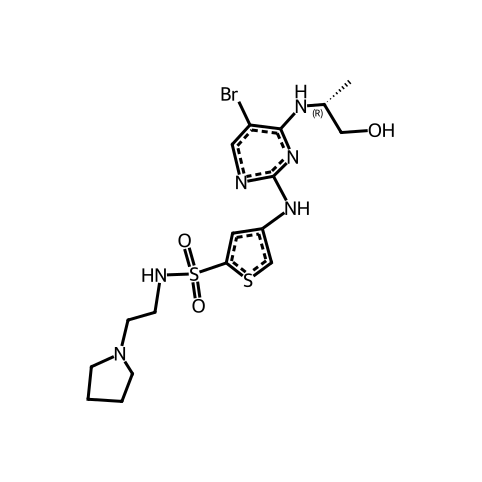 C[C@H](CO)Nc1nc(Nc2csc(S(=O)(=O)NCCN3CCCC3)c2)ncc1Br